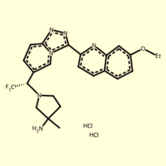 CCOc1ccc2ccc(-c3nnc4ccc([C@H](N5CCC(C)(N)C5)C(F)(F)F)cn34)nc2c1.Cl.Cl